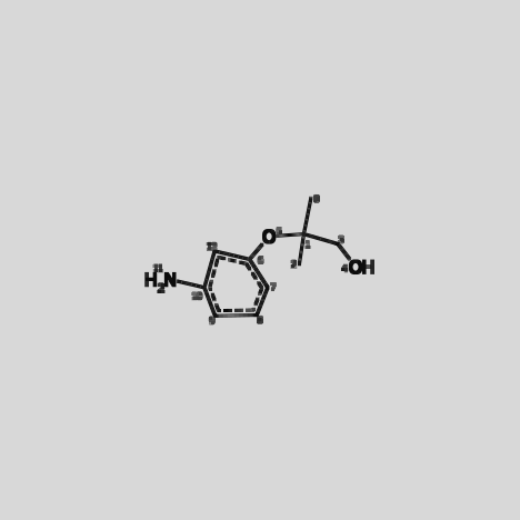 CC(C)(CO)Oc1cccc(N)c1